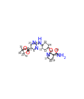 CC1(C)OB(c2cnc(N[C@H]3CC[C@H](Oc4ncccc4C(N)=O)CC3)nc2)OC1(C)C